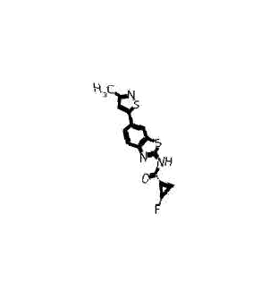 Cc1cc(-c2ccc3nc(NC(=O)[C@@H]4C[C@@H]4F)sc3c2)sn1